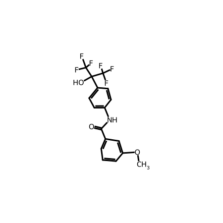 COc1cccc(C(=O)Nc2ccc(C(O)(C(F)(F)F)C(F)(F)F)cc2)c1